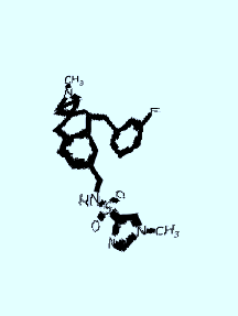 CN1C2C1C21Cc2ccc(CNS(=O)(=O)c3cn(C)cn3)cc2C1Cc1cccc(F)c1